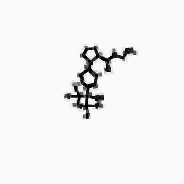 CCOC(=O)[C@@H]1CCCN1c1ccc(C(O)(C(F)(F)F)C(F)(F)F)cc1